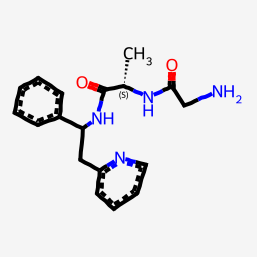 C[C@H](NC(=O)CN)C(=O)NC(Cc1ccccn1)c1ccccc1